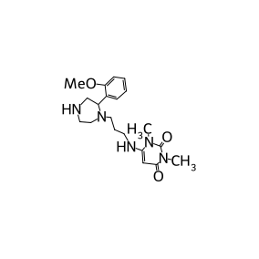 COc1ccccc1C1CNCCN1CCCNc1cc(=O)n(C)c(=O)n1C